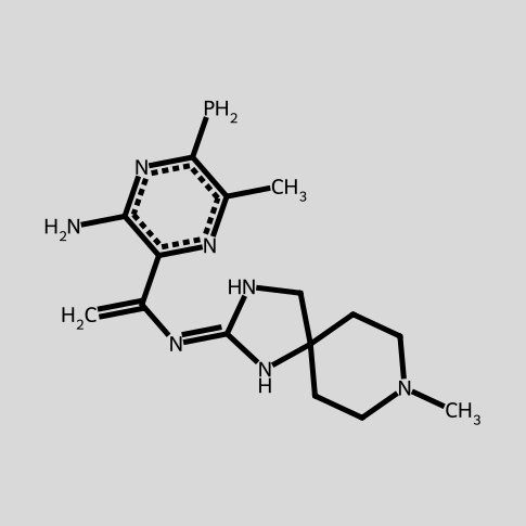 C=C(/N=C1\NCC2(CCN(C)CC2)N1)c1nc(C)c(P)nc1N